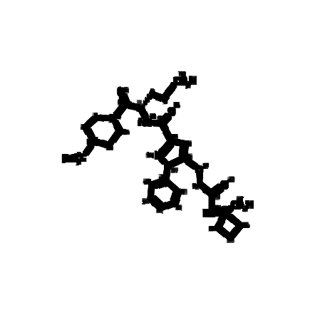 CCOC(=O)N1CCN(C(=O)[C@H](CCC(=O)O)NC(=O)c2cc(OCC(=O)NC3(C(=O)O)CCC3)n(-c3ccccc3)n2)CC1